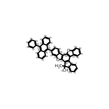 CC1(C)c2ccccc2-c2c1c1oc3cc(-c4c5ccccc5c(-c5ccccc5)c5ccccc45)ccc3c1c1oc3ccccc3c21